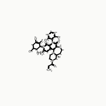 C=CC(=O)N1CCN2c3c(c(=O)n(-c4c(CC)ncnc4CC)c4c(=O)n(C5C(F)=C(Cl)CC(Cl)[C@H]5N)c(C(F)(F)F)cc34)OCC[C@H]2C1